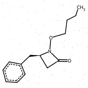 CCCCON1C(=O)C[C@H]1Cc1ccccc1